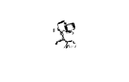 C=CC(C(=CC)CCCCC)[n+]1cccc2ccsc21.[I-]